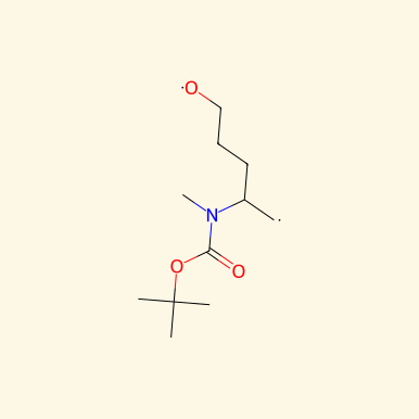 [CH2]C(CCC[O])N(C)C(=O)OC(C)(C)C